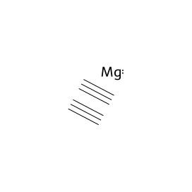 C#C.C#C.[Mg]